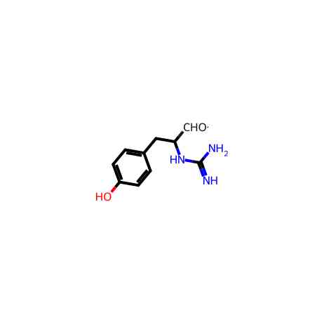 N=C(N)NC([C]=O)Cc1ccc(O)cc1